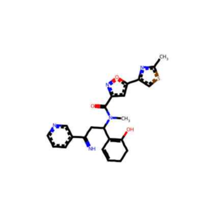 Cc1nc(-c2cc(C(=O)N(C)C(CC(=N)c3cccnc3)C3=C(O)CCC=C3)no2)cs1